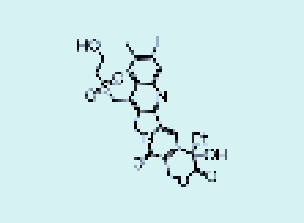 CC[C@@]1(O)C(=O)OCc2c1cc1n(c2=O)Cc2c-1nc1cc(F)c(C)cc1c2CS(=O)(=O)CCO